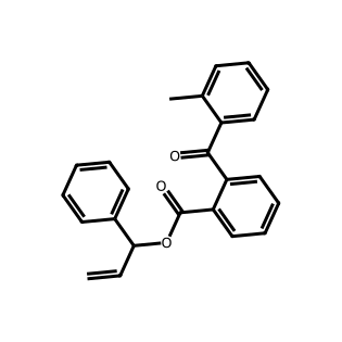 C=CC(OC(=O)c1ccccc1C(=O)c1ccccc1C)c1ccccc1